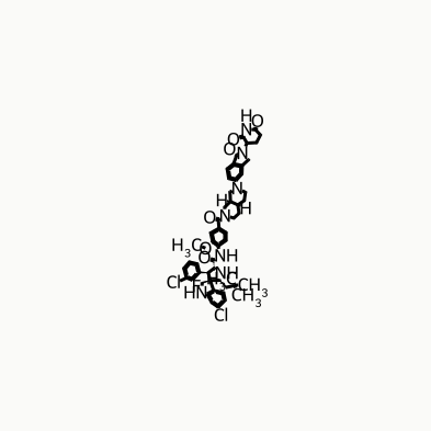 COc1cc(C(=O)N2CC[C@H]3CCN(c4ccc5c(c4)CN(C4CCC(=O)NC4=O)C5=O)C[C@H]3C2)ccc1NC(=O)[C@@H]1N[C@@H](CC(C)(C)C)[C@@]2(CNc3cc(Cl)ccc32)[C@H]1c1cccc(Cl)c1F